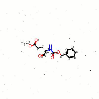 COC(=O)CC[C@@H](C=O)NC(=O)OCc1ccccc1